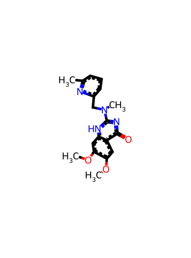 COc1cc2[nH]c(N(C)Cc3cccc(C)n3)nc(=O)c2cc1OC